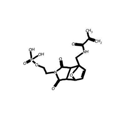 C=C(C)C(=O)NCC12C=CC(O1)C1C(=O)N(CCOP(=O)(O)O)C(=O)C12